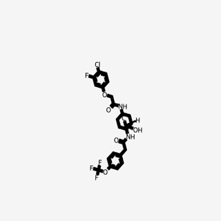 O=C(COc1ccc(Cl)c(F)c1)NC12CCC(NC(=O)Cc3ccc(OC(F)(F)F)cc3)(CC1)[C@@H](O)C2